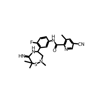 Cc1cc(C#N)cnc1C(=O)Nc1ccc(F)c(C2CN(C)SC(C)(C)C(=N)N2)c1